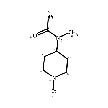 CCN1CCC(N(C)C(=O)C(C)C)CC1